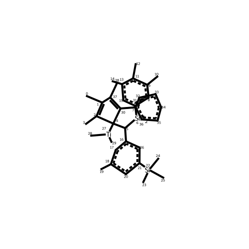 CC1=C(C)[C](C([SiH2]c2cc(C)c(C)c(C)c2)c2cc(C)cc([Si](C)(C)C)c2)([Ti]([CH3])[CH3])C(c2ccccc2)=C1C